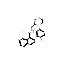 Cc1ccc(N2CCOCC2CN[C@H](C)c2cccc3ccccc23)cc1